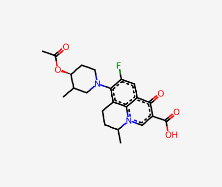 CC(=O)O[C@H]1CCN(c2c(F)cc3c(=O)c(C(=O)O)cn4c3c2CCC4C)CC1C